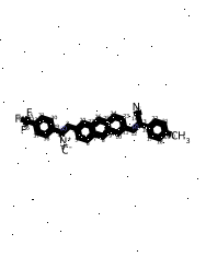 [C-]#[N+]/C(=C\c1ccc2cc3cc(/C=C(\C#N)c4ccc(C)cc4)ccc3cc2c1)c1ccc(C(F)(F)F)cc1